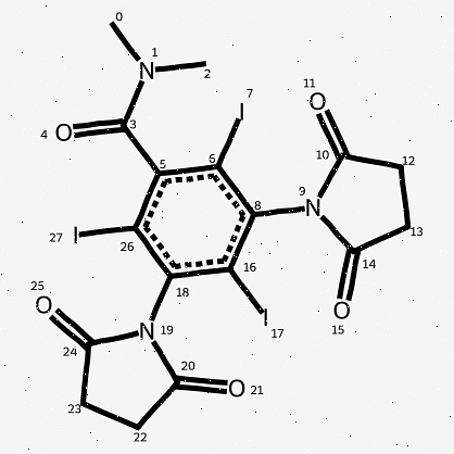 CN(C)C(=O)c1c(I)c(N2C(=O)CCC2=O)c(I)c(N2C(=O)CCC2=O)c1I